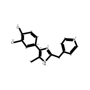 Cc1[nH]c(Cc2ccncc2)nc1-c1ccc(Cl)c(Cl)c1